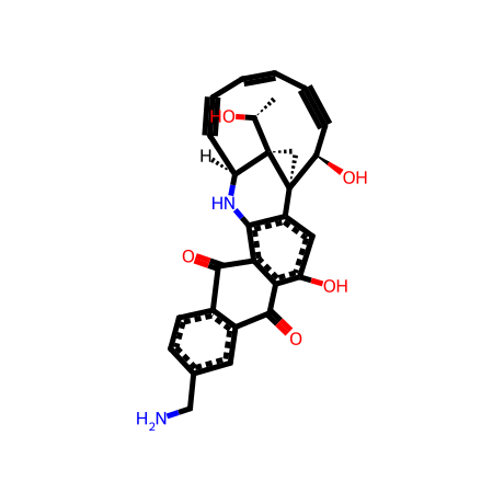 C[C@@H](O)[C@@]12C[C@]13c1cc(O)c4c(c1N[C@H]2C#C/C=C\C#C[C@H]3O)C(=O)c1ccc(CN)cc1C4=O